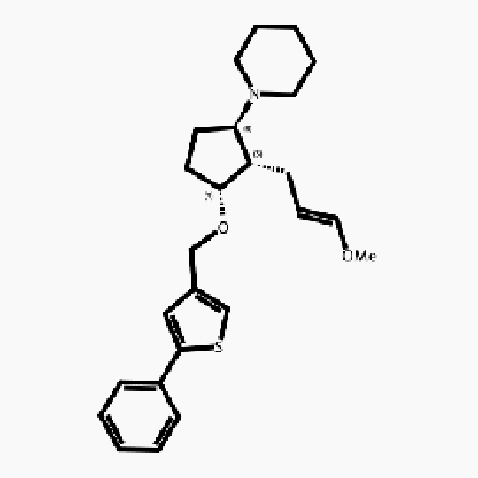 COC=CC[C@H]1[C@H](N2CCCCC2)CC[C@H]1OCc1csc(-c2ccccc2)c1